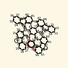 c1ccc(N2c3c4c(c5c6c3N(c3ccccc3)c3c(ccc7oc8ccccc8c37)B6n3c6ccccc6c6cccc-5c63)-c3cccc5c6ccccc6n(c35)B4c3ccc4oc5ccccc5c4c32)cc1